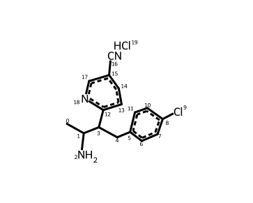 CC(N)C(Cc1ccc(Cl)cc1)c1ccc(C#N)cn1.Cl